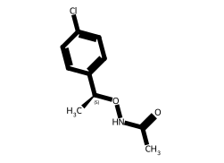 CC(=O)NO[C@@H](C)c1ccc(Cl)cc1